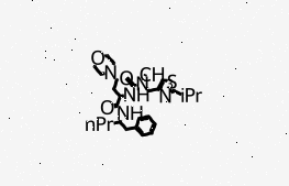 CCCC(Cc1ccccc1)NC(=O)C(CCN1CCOCC1)NC(=O)N(C)Cc1csc(C(C)C)n1